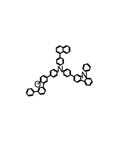 c1ccc(-c2cccc3c2oc2ccc(-c4ccc(N(c5ccc(-c6ccc7c8ccccc8n(-c8ccccc8)c7c6)cc5)c5ccc(-c6cccc7ccccc67)cc5)cc4)cc23)cc1